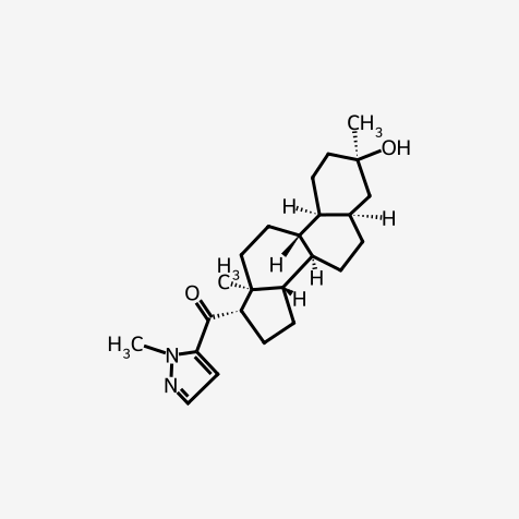 Cn1nccc1C(=O)[C@H]1CC[C@H]2[C@@H]3CC[C@@H]4C[C@](C)(O)CC[C@@H]4[C@H]3CC[C@]12C